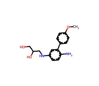 COc1ccc(-c2cc(NCC(O)CO)ccc2N)cc1